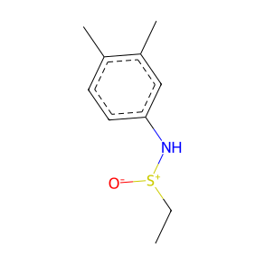 CC[S+]([O-])Nc1ccc(C)c(C)c1